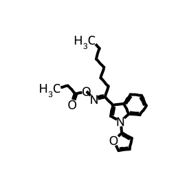 CCCCCC/C(=N\OC(=O)CC)c1cn(-c2ccco2)c2ccccc12